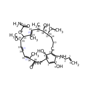 C=CCNc1c(O)cc2c(O)c1CCC[C@H](OC)[C@H](O)[C@@H](C)/C=C(\C)C(OC(N)=O)[C@@H](OC)/C=C\C=C(/C)C(=O)N2